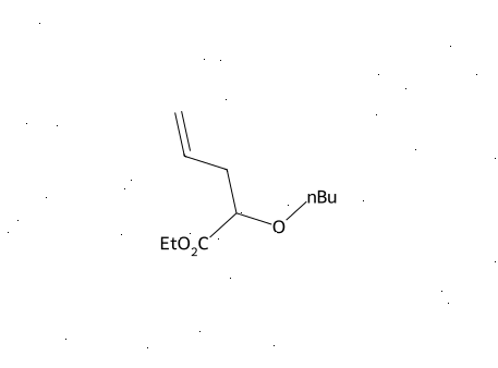 C=CCC(OCCCC)C(=O)OCC